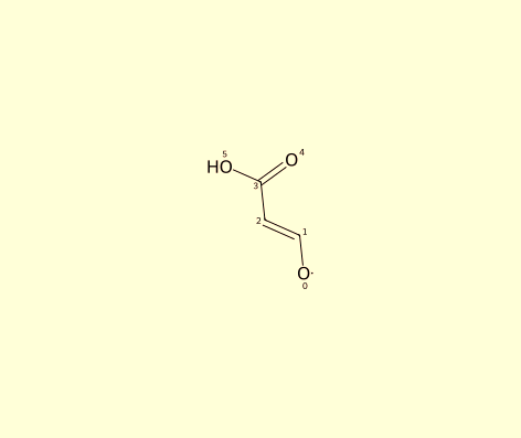 [O]C=CC(=O)O